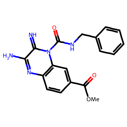 COC(=O)c1ccc2nc(N)c(=N)n(C(=O)NCc3ccccc3)c2c1